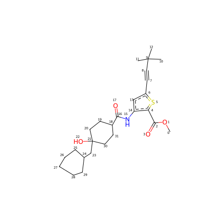 COC(=O)c1sc(C#CC(C)(C)C)cc1NC(=O)C1CCC(O)(CC2CCCCC2)CC1